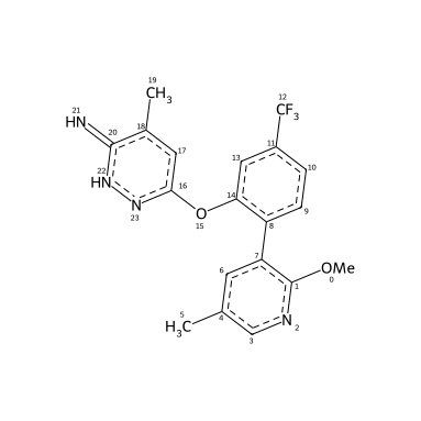 COc1ncc(C)cc1-c1ccc(C(F)(F)F)cc1Oc1cc(C)c(=N)[nH]n1